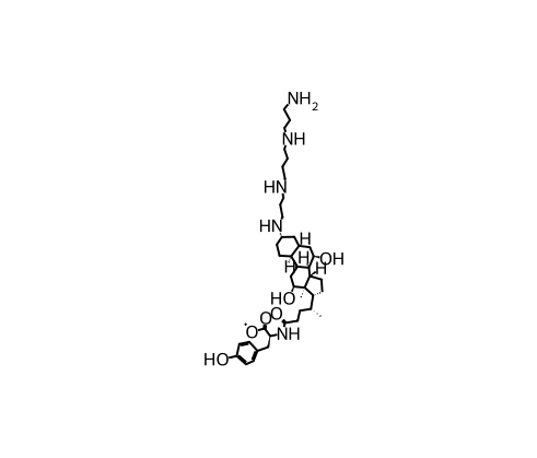 COC(=O)[C@H](Cc1ccc(O)cc1)NC(=O)CC[C@@H](C)[C@H]1CC[C@H]2[C@@H]3[C@H](O)C[C@@H]4C[C@@H](NCCCNCCCCNCCCN)CC[C@]4(C)[C@H]3C[C@H](O)[C@]12C